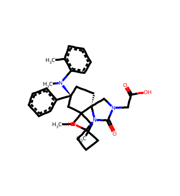 CCC1(CC)C[C@@](c2ccccc2)(N(C)c2ccccc2C)CC[C@@]12CN(CC(=O)O)C(=O)N2C1(O)CCC1